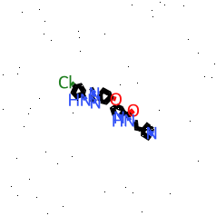 Cn1c(Nc2ccc(Cl)cc2)nc2cc(Oc3ccnc(C(=O)NCCc4ccncc4)c3)ccc21